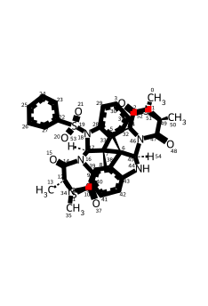 CN1C(=O)[C@@]23C[C@]4([C@]56C[C@@]78SS[C@@](C)(C(=O)N7[C@H]5N(S(=O)(=O)c5ccccc5)c5ccccc56)N(C)C8=O)c5ccccc5N[C@@H]4N2C(=O)[C@]1(C)SS3